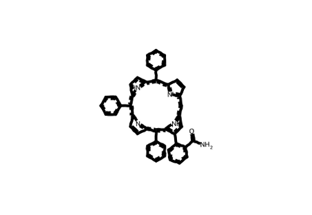 NC(=O)c1ccccc1-c1cc2cc3nc(c(-c4ccccc4)c4ccc([nH]4)c(-c4ccccc4)c4nc(c(-c5ccccc5)c1[nH]2)C=C4)C=C3